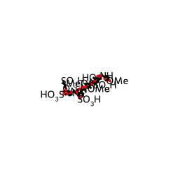 COc1ccc(Nc2ccc3c(O)c(N=Nc4cc(OC)c(N=Nc5ccc(N=Nc6ccc7cc(S(=O)(=O)O)cc(OCCCS(=O)(=O)O)c7c6)c6cc(S(=O)(=O)O)ccc56)cc4OC)c(S(=O)(=O)O)cc3c2)cc1